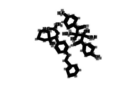 CN(C)C[C@@H](c1ccc(OCc2ccccc2)cc1)C1(O)CCCCC1.Cc1ccc(C(=O)C(O)(C(=O)O)C(O)(C(=O)O)C(=O)c2ccc(C)cc2)cc1